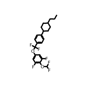 CCCC1CCC(c2ccc(C(F)(F)Oc3cc(F)c(OC(F)F)c(F)c3)cc2)CC1